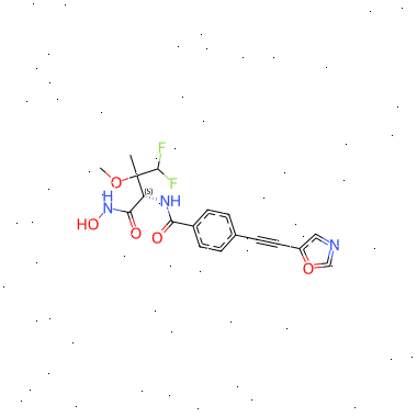 COC(C)(C(F)F)[C@H](NC(=O)c1ccc(C#Cc2cnco2)cc1)C(=O)NO